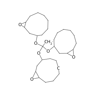 [CH2]C(OC1CCCCCCC2OC2C1)(OC1CCCCCCC2OC2C1)OC1CCCCCCC2OC2C1